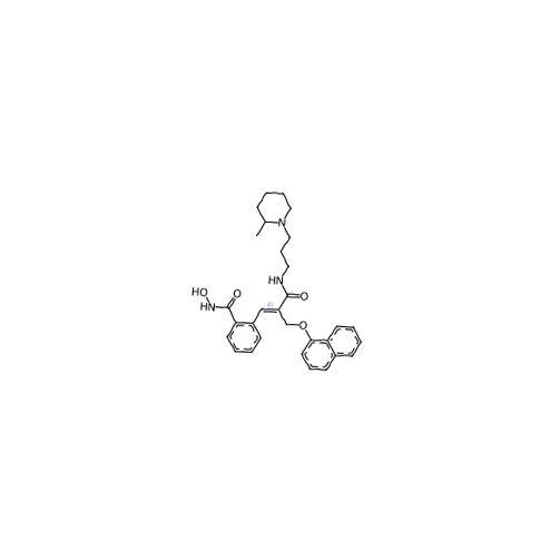 CC1CCCCN1CCCNC(=O)/C(=C/c1ccccc1C(=O)NO)COc1cccc2ccccc12